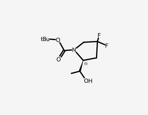 CC(O)[C@@H]1CC(F)(F)CN1C(=O)OC(C)(C)C